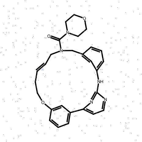 O=C(N1CCOCC1)N1C/C=C/CCOc2cccc(c2)-c2ccnc(n2)Nc2cccc(c2)C1